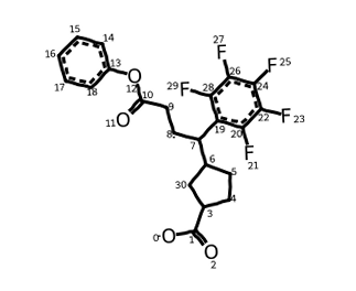 [O]C(=O)C1CCC(C([CH]CC(=O)Oc2ccccc2)c2c(F)c(F)c(F)c(F)c2F)C1